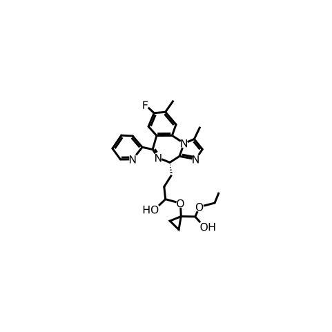 CCOC(O)C1(OC(O)CC[C@@H]2N=C(c3ccccn3)c3cc(F)c(C)cc3-n3c(C)cnc32)CC1